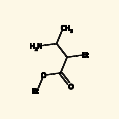 CCOC(=O)C(CC)C(C)N